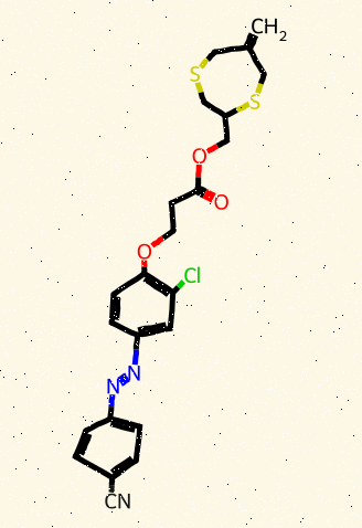 C=C1CSCC(COC(=O)CCOc2ccc(/N=N/c3ccc(C#N)cc3)cc2Cl)SC1